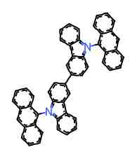 c1ccc2c(-n3c4ccccc4c4cc(-c5ccc6c(c5)c5ccccc5n6-c5c6ccccc6cc6ccccc56)ccc43)c3ccccc3cc2c1